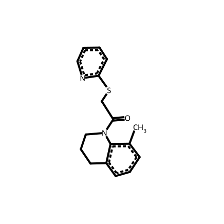 Cc1cccc2c1N(C(=O)CSc1ccccn1)CCC2